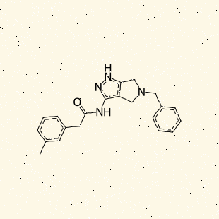 Cc1cccc(CC(=O)Nc2n[nH]c3c2CN(Cc2ccccc2)C3)c1